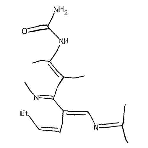 CC\C=C/C(=C\N=C(C)C)C(=N/C)/C(C)=C(\C)NC(N)=O